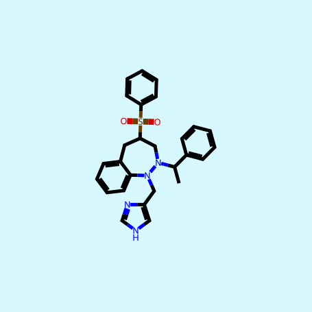 CC(c1ccccc1)N1CC(S(=O)(=O)c2ccccc2)Cc2ccccc2N1Cc1c[nH]cn1